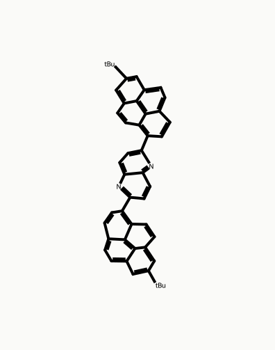 CC(C)(C)c1cc2ccc3ccc(-c4ccc5nc(-c6ccc7ccc8cc(C(C)(C)C)cc9ccc6c7c89)ccc5n4)c4ccc(c1)c2c34